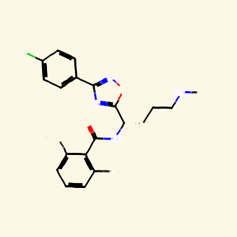 COc1cccc(OC)c1C(=O)N[C@@H](CCCNC(=O)O)c1nc(-c2ccc(Cl)cc2)no1